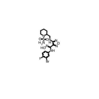 NS(=O)(=O)N1CCCCC1CNc1nonc1C(=NO)Nc1ccc(F)c(Br)c1